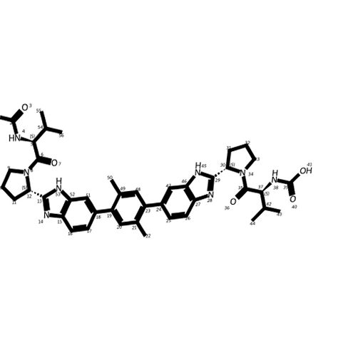 COC(=O)N[C@H](C(=O)N1CCC[C@H]1c1nc2ccc(-c3cc(C)c(-c4ccc5nc([C@@H]6CCCN6C(=O)[C@@H](NC(=O)O)C(C)C)[nH]c5c4)cc3C)cc2[nH]1)C(C)C